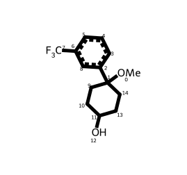 COC1(c2cccc(C(F)(F)F)c2)CCC(O)CC1